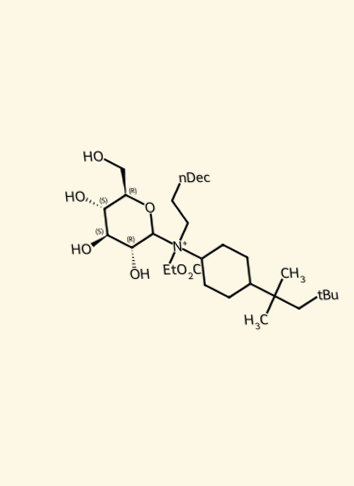 CCCCCCCCCCCC[N+](C(=O)OCC)(C1CCC(C(C)(C)CC(C)(C)C)CC1)C1O[C@H](CO)[C@@H](O)[C@H](O)[C@H]1O